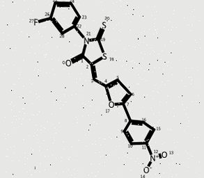 O=C1/C(=C/c2ccc(-c3ccc([N+](=O)[O-])cc3)o2)SC(=S)N1c1cccc(F)c1